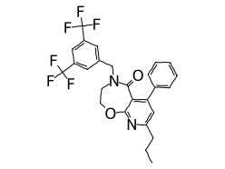 CCCc1cc(-c2ccccc2)c2c(n1)OCCN(Cc1cc(C(F)(F)F)cc(C(F)(F)F)c1)C2=O